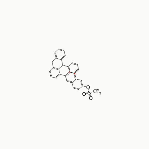 O=S(=O)(Oc1ccc2cc(-c3cccc4c3C(c3ccccc3)c3ccccc3C4)ccc2c1)C(F)(F)F